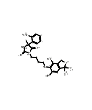 CCCc1cc2c(c(CCC)c1OCCCCN1C(=O)NC(C)(c3ccccc3OC)C1=O)COC2(C(F)(F)F)C(F)(F)F